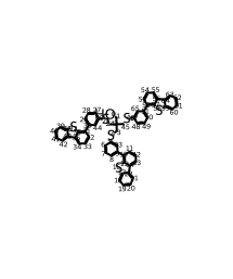 OCC(CSc1cccc(-c2cccc3c2sc2ccccc23)c1)(CSc1cccc(-c2cccc3c2sc2ccccc23)c1)CSc1cccc(-c2cccc3c2sc2ccccc23)c1